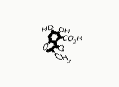 Cc1coc2cc(O)c(O)c(C(=O)O)c2c1=O